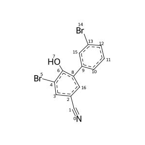 N#Cc1cc(Br)c(O)c(-c2cccc(Br)c2)c1